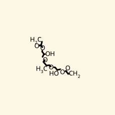 C=CC(=O)OCC(O)COCC(C)COCC(O)COC(=O)C=C